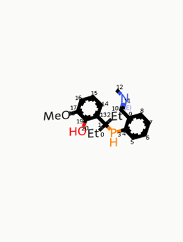 CCC(CC)(Pc1ccccc1/C=N/C)c1cccc(OC)c1O